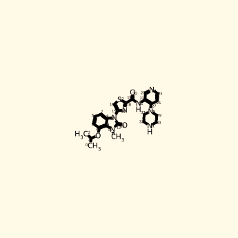 CC(C)Oc1cccc2c1n(C)c(=O)n2-c1csc(C(=O)Nc2cnccc2N2CCNCC2)n1